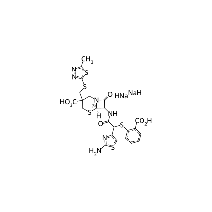 Cc1nnc(SCC2(C(=O)O)CS[C@@H]3C(NC(=O)C(Sc4ccccc4C(=O)O)c4csc(N)n4)C(=O)N3C2)s1.[NaH].[NaH]